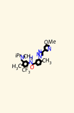 COc1cncc(-c2cn(-c3cc(C(=O)Nc4cc(CN(C)C(C)C)c(C)c(C(F)(F)F)c4)ccc3C)nn2)c1